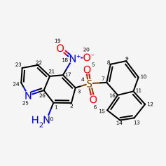 Nc1cc(S(=O)(=O)c2cccc3ccccc23)c([N+](=O)[O-])c2cccnc12